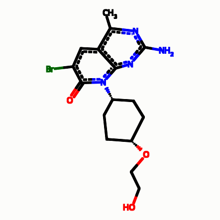 Cc1nc(N)nc2c1cc(Br)c(=O)n2[C@H]1CC[C@@H](OCCO)CC1